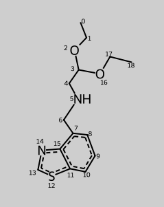 CCOC(CNCc1cccc2scnc12)OCC